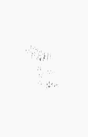 COCCN(CC1CCN(c2ccc(C(=O)NC3C(C)(C)C(Oc4ccc(C#N)c(OC)c4)C3(C)C)cc2)CC1)C1CC(Oc2ccc3c(c2)C(=O)N([C@@H]2CCC(=O)NC2=O)C3=O)C1